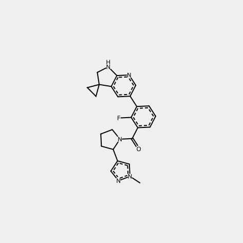 Cn1cc(C2CCCN2C(=O)c2cccc(-c3cnc4c(c3)C3(CC3)CN4)c2F)cn1